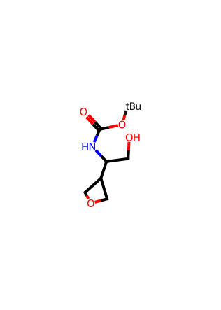 CC(C)(C)OC(=O)NC(CO)C1COC1